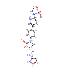 O=C1O[C@@H](CNc2ccon2)CN1c1ccc(-c2ccc(N3CCOC3=O)nc2)cc1